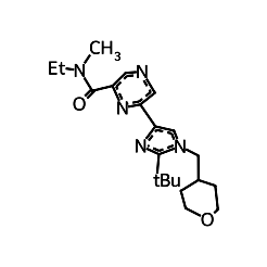 CCN(C)C(=O)c1cncc(-c2cn(CC3CCOCC3)c(C(C)(C)C)n2)n1